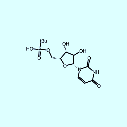 CC(C)(C)P(=O)(O)OC[C@H]1O[C@@H](n2ccc(=O)[nH]c2=O)C(O)[C@H]1O